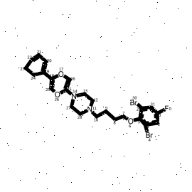 Fc1cc(Br)c(OCCCCN2CCN(C3=COC(C4=CC=CCC4)=CO3)CC2)c(Br)c1